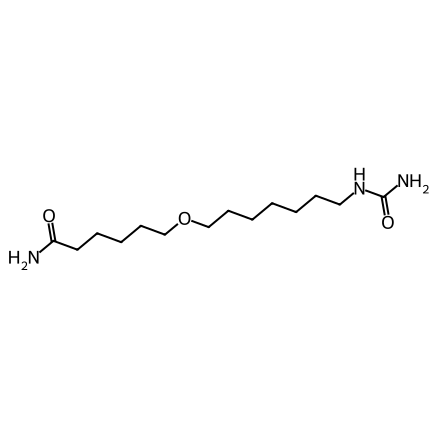 NC(=O)CCCCCOCCCCCCCNC(N)=O